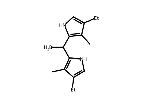 BC(c1[nH]cc(CC)c1C)c1[nH]cc(CC)c1C